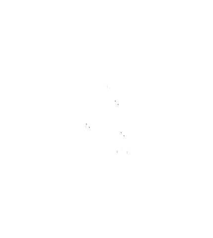 CN(C)C1N(C(C)(C)C)C=CN1C(C)(C)C